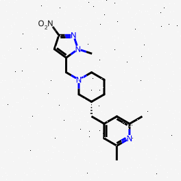 Cc1cc(C[C@H]2CCCN(Cc3cc([N+](=O)[O-])nn3C)C2)cc(C)n1